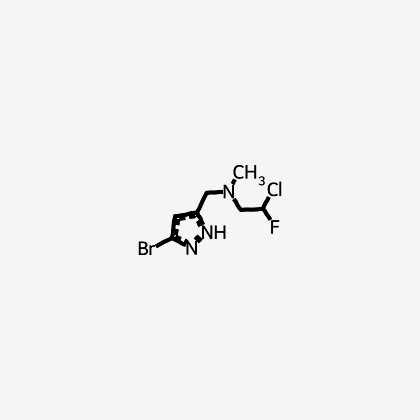 CN(Cc1cc(Br)n[nH]1)CC(F)Cl